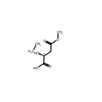 CC.COC(=O)C[C@H](O)C(=O)O